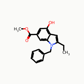 CCc1cc2c(O)cc(C(=O)OC)cc2n1Cc1ccccc1